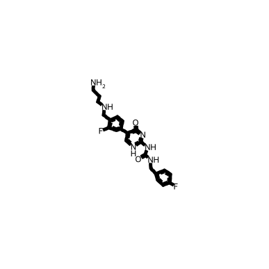 NCCCNCc1ccc(-c2c[nH]c(NC(=O)NCc3ccc(F)cc3)nc2=O)cc1F